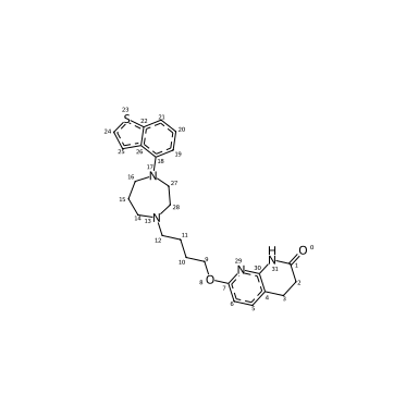 O=C1CCc2ccc(OCCCCN3CCCN(c4cccc5sccc45)CC3)nc2N1